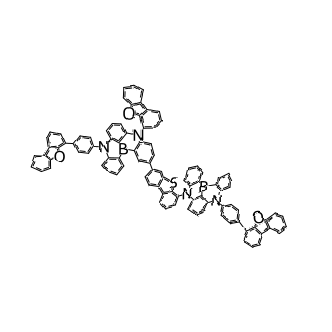 c1ccc2c(c1)B1c3cc(-c4ccc5c(c4)sc4c(N6c7ccccc7B7c8ccccc8N(c8ccc(-c9cccc%10c9oc9ccccc9%10)cc8)c8cccc6c87)cccc45)ccc3N(c3cccc4c3oc3ccccc34)c3cccc(c31)N2c1ccc(-c2cccc3c2oc2ccccc23)cc1